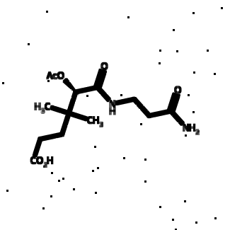 CC(=O)O[C@@H](C(=O)NCCC(N)=O)C(C)(C)CCC(=O)O